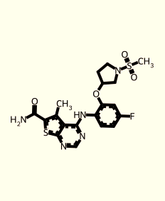 Cc1c(C(N)=O)sc2ncnc(Nc3ccc(F)cc3OC3CCN(S(C)(=O)=O)C3)c12